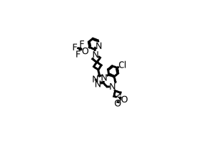 O=S1(=O)CC(N2Cc3cc(Cl)ccc3-n3c(nnc3C3CC4(C3)CN(c3ncccc3OC(F)(F)F)C4)C2)C1